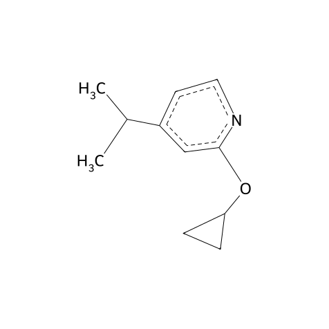 CC(C)c1ccnc(OC2CC2)c1